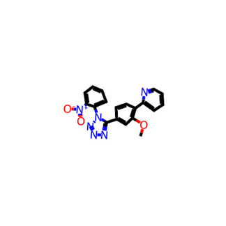 COc1cc(-c2nnnn2-c2ccccc2[N+](=O)[O-])ccc1-c1ccccn1